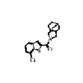 O=C(c1cc2cccc(Cl)c2s1)N1CC2CC3CCC2C1C3